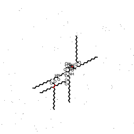 CCCCCCCCCCCCCC(=O)O[C@H](CCCCCCCCCCC)CC(=O)NCCO[C@@H]1O[C@H](CO)[C@](O)(P(=O)(O)O)[C@H](OC(=O)C[C@@H](CCCCCCCCCCC)OC(=O)CCCCCCCCCCCCC)[C@H]1NC(=O)C[C@@H](CCCCCCCCCCC)OC(=O)CCCCCCCCCCCCC